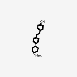 CCCCCC[C@H]1CC[C@H](c2ccc(CCc3ccc(C#N)cc3)cc2)CC1